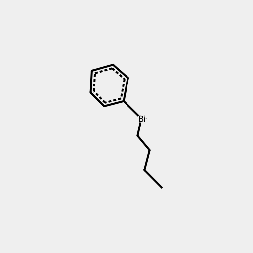 CCC[CH2][Bi][c]1ccccc1